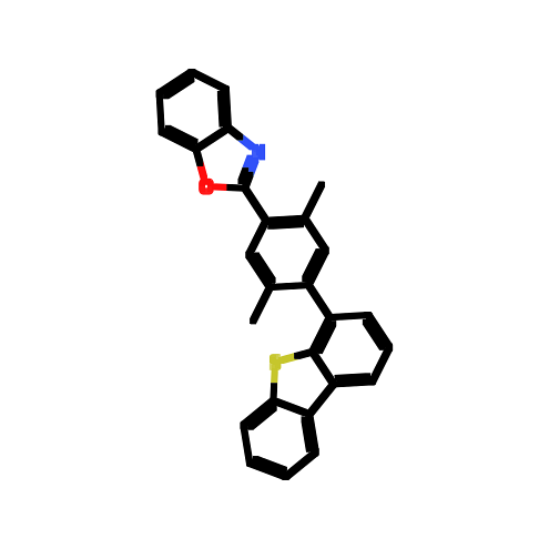 Cc1cc(-c2cccc3c2sc2ccccc23)c(C)cc1-c1nc2ccccc2o1